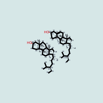 CC[C@H](CC[C@@H](C)[C@H]1CC[C@H]2[C@@H]3CC=C4C[C@@H](O)CC[C@]4(C)[C@H]3CC[C@]12C)C(C)C.CC[C@H](CC[C@@H](C)[C@H]1CC[C@H]2[C@@H]3CC[C@H]4C[C@@H](O)CC[C@]4(C)[C@H]3CC[C@]12C)C(C)C